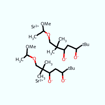 COC(C)OCC(C)(C)C([O-])CC([O-])C(C)(C)C.COC(C)OCC(C)(C)C([O-])CC([O-])C(C)(C)C.[Sr+2].[Sr+2]